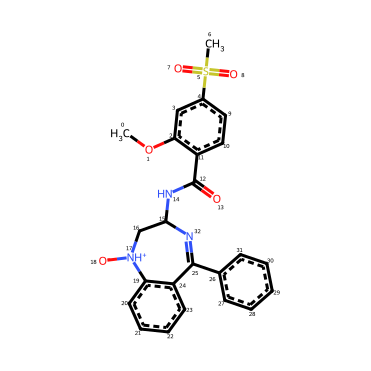 COc1cc(S(C)(=O)=O)ccc1C(=O)NC1C[NH+]([O-])c2ccccc2C(c2ccccc2)=N1